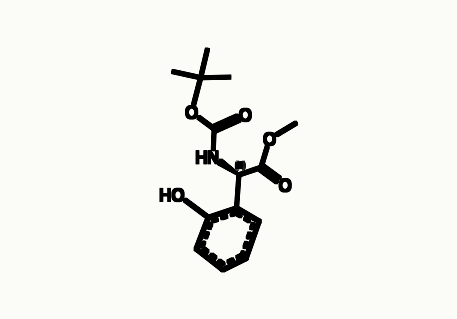 COC(=O)[C@H](NC(=O)OC(C)(C)C)c1ccccc1O